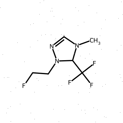 CN1[C]=NN(CCF)C1C(F)(F)F